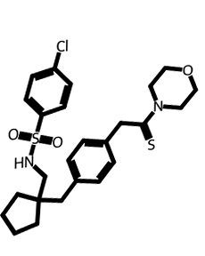 O=S(=O)(NCC1(Cc2ccc(CC(=S)N3CCOCC3)cc2)CCCC1)c1ccc(Cl)cc1